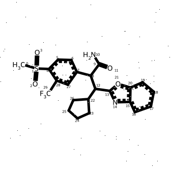 CS(=O)(=O)c1ccc(C(C(N)=O)C(c2nc3ccccc3o2)C2CCCC2)cc1C(F)(F)F